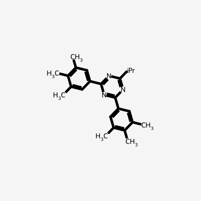 Cc1cc(-c2nc(-c3cc(C)c(C)c(C)c3)nc(C(C)C)n2)cc(C)c1C